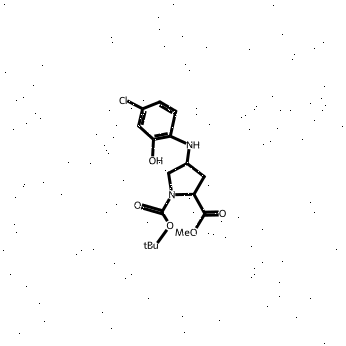 COC(=O)C1CC(Nc2ccc(Cl)cc2O)CN1C(=O)OC(C)(C)C